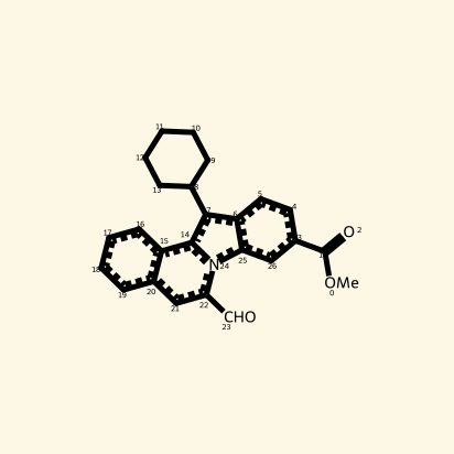 COC(=O)c1ccc2c(C3CCCCC3)c3c4ccccc4cc(C=O)n3c2c1